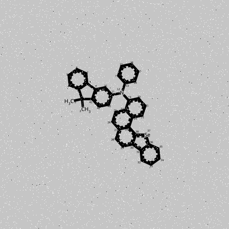 CC1(C)c2ccccc2-c2cc(N(c3ccccc3)c3cccc4c3ccc3ccc5c6ccccc6[se]c5c34)ccc21